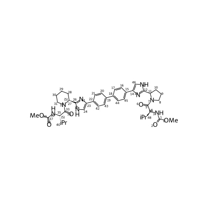 COC(=O)N[C@H](C(=O)N1CCCC1c1nc(-c2ccc(-c3ccc(-c4c[nH]c([C@@H]5CCCCN5C(=O)[C@@H](NC(=O)OC)C(C)C)n4)cc3)cc2)c[nH]1)C(C)C